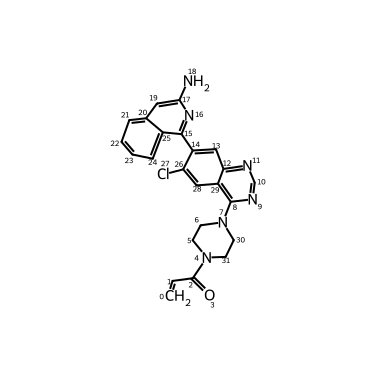 C=CC(=O)N1CCN(c2ncnc3cc(-c4nc(N)cc5ccccc45)c(Cl)cc23)CC1